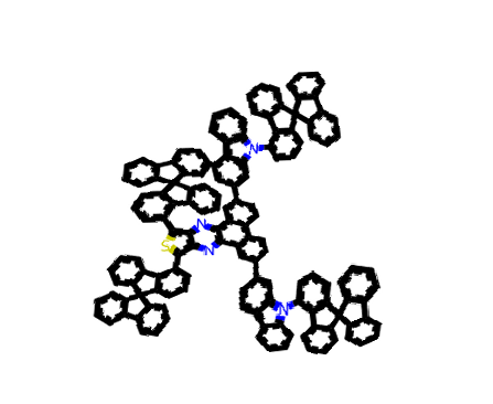 c1ccc2c(c1)-c1ccccc1C21c2ccccc2-c2c(-c3sc(-c4cccc5c4-c4ccccc4C54c5ccccc5-c5ccccc54)c4nc5c6cc(-c7ccc8c9ccccc9n(-c9cccc%10c9-c9ccccc9C%109c%10ccccc%10-c%10ccccc%109)c8c7)ccc6c6ccc(-c7ccc8c9ccccc9n(-c9cccc%10c9-c9ccccc9C%109c%10ccccc%10-c%10ccccc%109)c8c7)cc6c5nc34)cccc21